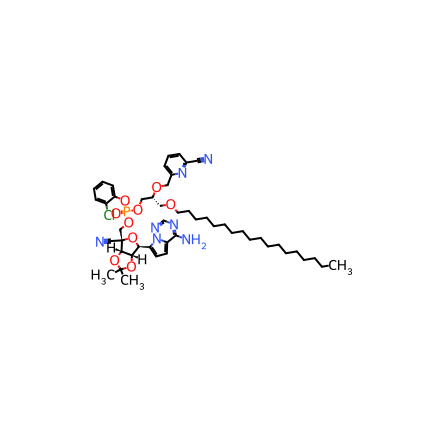 CCCCCCCCCCCCCCCCCCOC[C@H](COP(=O)(OC[C@@]1(C#N)O[C@@H](c2ccc3c(N)ncnn23)[C@@H]2OC(C)(C)O[C@@H]21)Oc1ccccc1Cl)OCc1cccc(C#N)n1